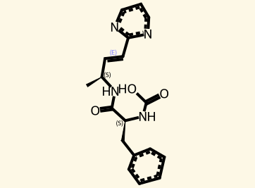 C[C@@H](/C=C/c1ncccn1)NC(=O)[C@H](Cc1ccccc1)NC(=O)O